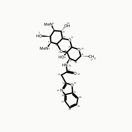 CN[C@@H]1[C@H](O)[C@H](NC)C2O[C@]3(O)C(OC2[C@H]1O)O[C@H](C)C[C@H]3NC(=O)Cc1nc2ccccc2o1